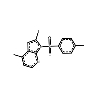 Cc1ccc(S(=O)(=O)n2c(I)cc3c(C)ccnc32)cc1